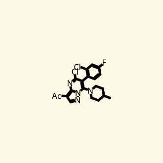 CC(=O)c1cnn2c(N3CCC(C)CC3)c(-c3ccc(F)cc3Cl)c(Cl)nc12